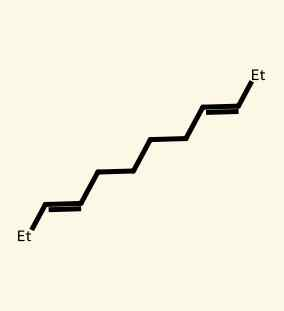 CC/C=C/CCCC/C=C/CC